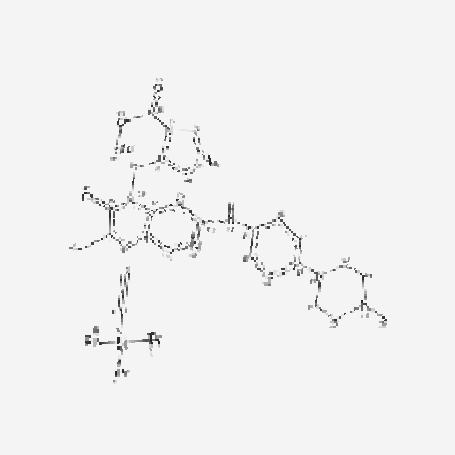 Cc1c(C#C[Si](C(C)C)(C(C)C)C(C)C)c2cnc(Nc3ccc(N4CCN(C)CC4)cc3)nc2n(Cc2cncn2C(=O)OC(C)(C)C)c1=O